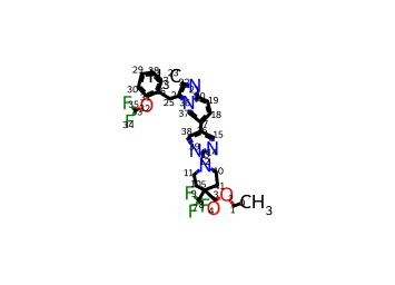 CCOC(=O)C1(C(F)(F)F)CCN(c2ncc(-c3ccc4nc(C)c(Cc5ccccc5OC(F)F)n4c3)cn2)CC1